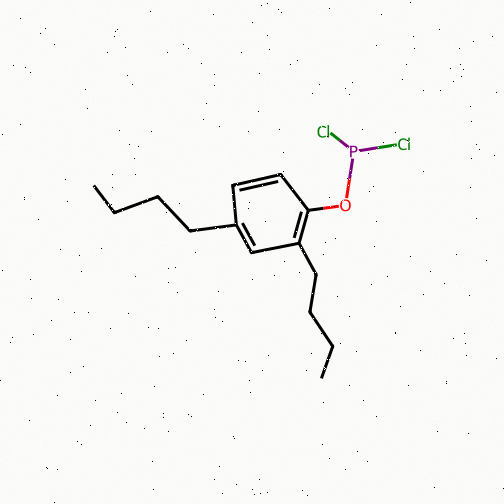 CCCCc1ccc(OP(Cl)Cl)c(CCCC)c1